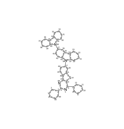 c1ccc(-c2nc(-c3ccccc3)c3sc4cc(-n5c6ccccc6c6cc(-n7c8ccccc8c8ccccc87)ccc65)ccc4c3n2)cc1